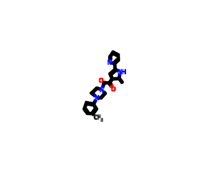 CC1NC(c2ccccn2)=CC1C(=O)C(=O)N1CCN(c2cccc(C(F)(F)F)c2)CC1